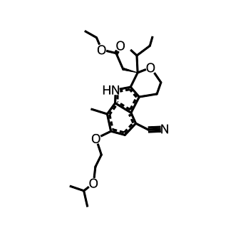 CCOC(=O)C[C@@]1(C(C)CC)OCCc2c1[nH]c1c(C)c(OCCOC(C)C)cc(C#N)c21